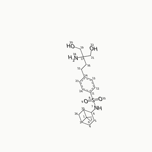 CC1(C)C2CCC(NS(=O)(=O)c3ccc(CCC(N)(CO)CO)cc3)C1C2